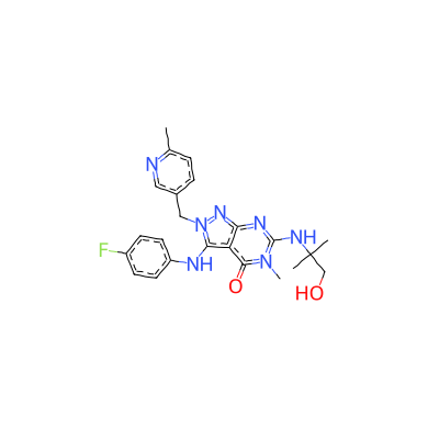 Cc1ccc(Cn2nc3nc(NC(C)(C)CO)n(C)c(=O)c3c2Nc2ccc(F)cc2)cn1